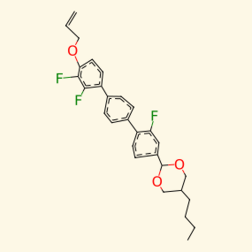 C=CCOc1ccc(-c2ccc(-c3ccc(C4OCC(CCCC)CO4)cc3F)cc2)c(F)c1F